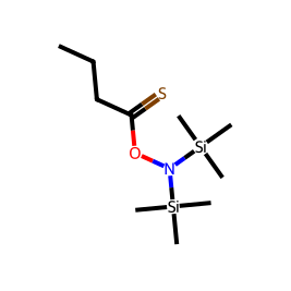 CCCC(=S)ON([Si](C)(C)C)[Si](C)(C)C